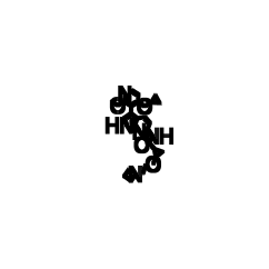 COc1nccc(OC2CC2)c1-c1c[nH]c2nc(NC(=O)C3CC3OCCN3CCC3)ccc12